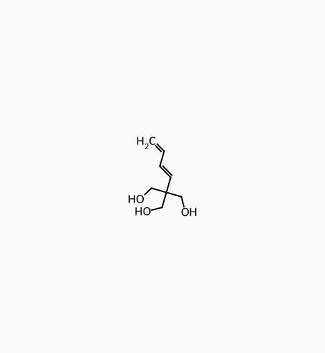 C=CC=CC(CO)(CO)CO